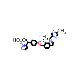 Cc1cnc(Cn2ccc3ccc(COc4ccc([C@H](CC(=O)O)c5ccon5)cc4)c(C)c32)cn1